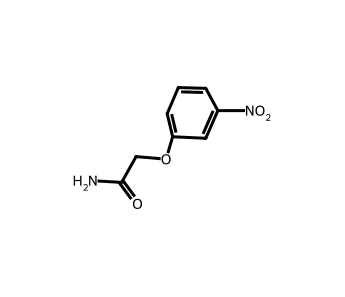 NC(=O)COc1cccc([N+](=O)[O-])c1